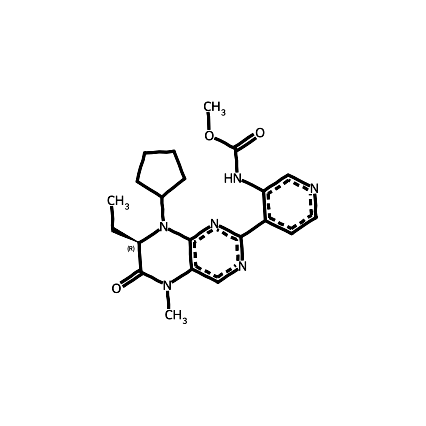 CC[C@@H]1C(=O)N(C)c2cnc(-c3ccncc3NC(=O)OC)nc2N1C1CCCC1